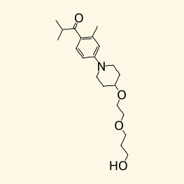 Cc1cc(N2CCC(OCCOCCCO)CC2)ccc1C(=O)C(C)C